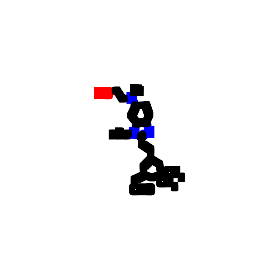 CCCCn1c(/C=C/C2=CC(=C/C=O)/CC(C)(C)C2)nc2ccc(N(CC)CCO)cc21